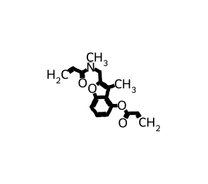 C=CC(=O)Oc1cccc2oc(CN(C)C(=O)C=C)c(C)c12